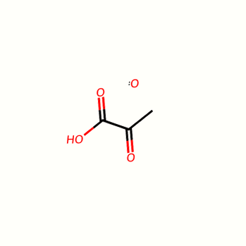 CC(=O)C(=O)O.[O]